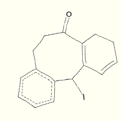 O=C1CCc2ccccc2C(I)C2=C1CCC=C2